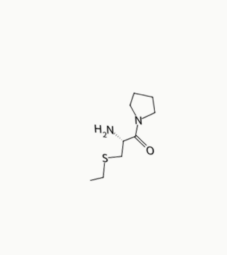 CCSC[C@H](N)C(=O)N1CCCC1